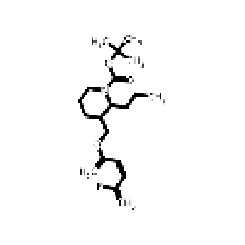 C=C(F)/C=C\C(=C)OCC1CCCN(C(=O)OC(C)(C)C)C1CCC